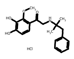 COc1c(C(=O)CNC(C)(C)Cc2ccccc2)ccc(O)c1O.Cl